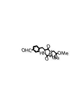 COC(=O)CNC(=O)C(Cc1ccc(C=O)cc1)NC(=O)OC(C)(C)C